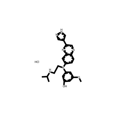 COc1cc(O)cc(N(CCNC(C)C)c2ccc3ncc(-c4cn[nH]c4)nc3c2)c1.Cl